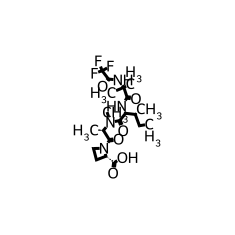 CC[C@H](C)[C@H](NC(=O)C(C)(C)NC(=O)C(F)(F)F)C(=O)N(C)[C@@H](C)C(=O)N1CC[C@H]1C(=O)O